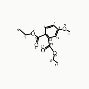 CCOC(=O)c1ccc(OC)cc1C(=O)OCC